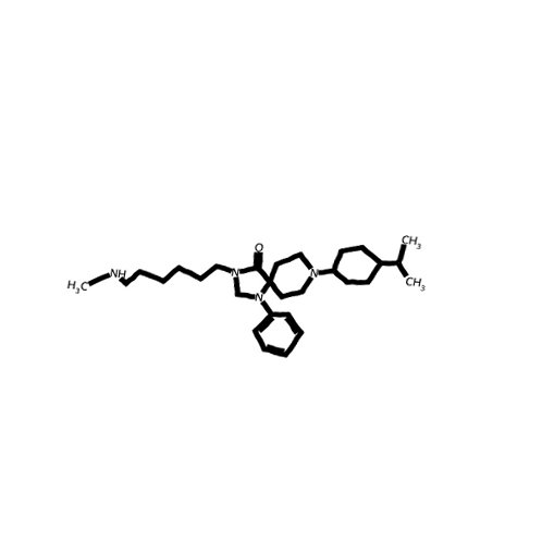 CNCCCCCCN1CN(c2ccccc2)C2(CCN(C3CCC(C(C)C)CC3)CC2)C1=O